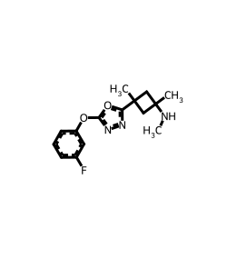 CNC1(C)CC(C)(c2nnc(Oc3cccc(F)c3)o2)C1